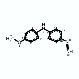 COc1ccc(Nc2ccc(N=N)cc2)cc1